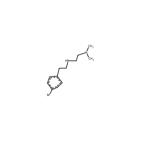 CN(C)CCNCCc1ccc(Br)cc1